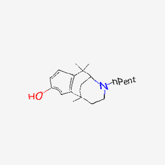 CCCCCN1CCC2(C)CC1C(C)(C)c1ccc(O)cc12